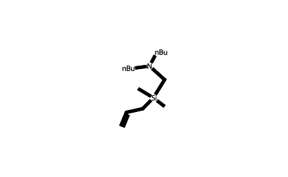 C=CC[Si](C)(C)CN(CCCC)CCCC